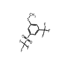 CSc1cc(C(F)(F)F)cc(S(=O)(=O)C(F)(F)F)c1